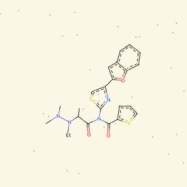 CCN(C(C)C(=O)N(C(=O)c1cccs1)c1nc(-c2cc3ccccc3o2)cs1)N(C)C